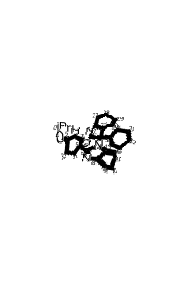 CC(C)Oc1ccc(-c2nc3ccccc3n2C(C(N)=O)(C2CCCCC2)C2CCCCC2)cc1